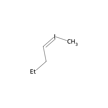 CCC/C=I\C